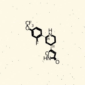 O=c1cc([C@H]2CCN[C@@H](c3ccc(OC(F)(F)F)cc3F)C2)o[nH]1